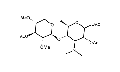 CO[C@H]1[C@H](O[C@H]2[C@H](N(C)C)[C@@H](OC(C)=O)C(OC(C)=O)O[C@@H]2C)OC[C@@H](OC)[C@@H]1OC(C)=O